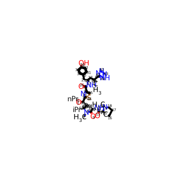 CCCO[C@H](C[C@H](C(C)C)N(C)C(=O)[C@@H](NC(=O)[C@H]1CCCCN1C)[C@@H](C)CC)c1nc(C(=O)N[C@@H](Cc2ccc(O)cc2)C[C@H](C)c2nnn[nH]2)cs1